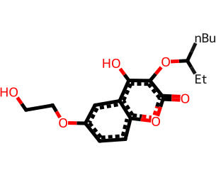 CCCCC(CC)Oc1c(O)c2cc(OCCO)ccc2oc1=O